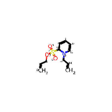 C=CCOS(=O)(=O)C1C=CC=CN1CC=C